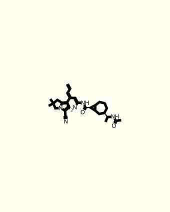 C=C/C=C(\C=C(/N)NC(=O)[C@H]1C2CCC[C@@H](C(C)NC(C)=O)CC21)c1cc(C#N)n2c1CC(C)(C)C2